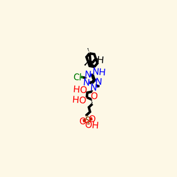 C[C@]12C[C@@H]3C[C@](C)(C1)C[C@@](Nc1nc(Cl)nc4c1ncn4[C@@H]1O[C@H](CCCCS(=O)(=O)O)C(O)[C@@H]1O)(C3)C2